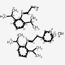 CC(C)c1cccc(C(C)C)c1N=CCc1cccnc1.CC(C)c1cccc(C(C)C)c1N=C[CH2][Fe].Cl.Cl